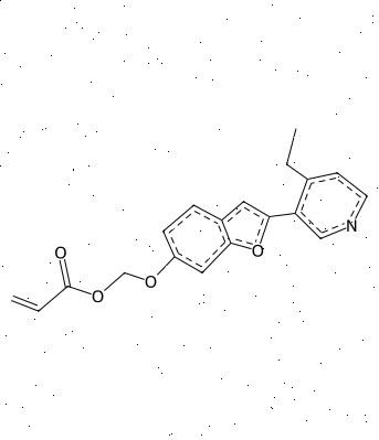 C=CC(=O)OCOc1ccc2cc(-c3cnccc3CC)oc2c1